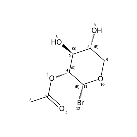 CC(=O)O[C@@H]1[C@@H](O)[C@H](O)CO[C@@H]1Br